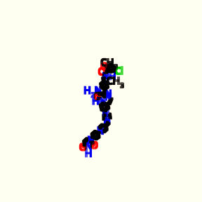 COc1ccc(Cl)cc1C(=O)NCc1ccc(-c2nn3c(c2C(N)=O)Nc2ccc(N4CCN(CC5CCN(c6ccc(N7CCC(=O)NC7=O)cc6)CC5)CC4)cc2CC3)cc1C